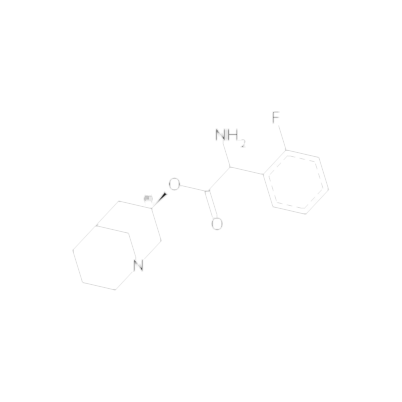 NC(C(=O)O[C@@H]1CC2CCCN(C2)C1)c1ccccc1F